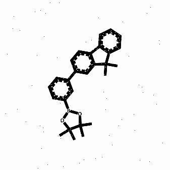 CC1(C)c2ccccc2-c2ccc(-c3cccc(B4OC(C)(C)C(C)(C)O4)c3)cc21